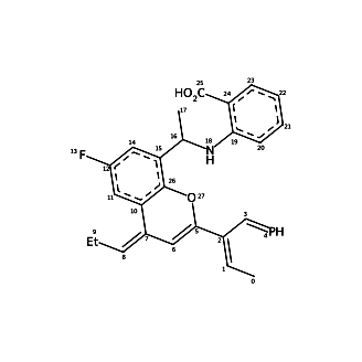 C/C=C(\C=P)C1=C/C(=C/CC)c2cc(F)cc(C(C)Nc3ccccc3C(=O)O)c2O1